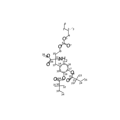 CC[C@H](C)COC(=O)OCCC(N)(Cc1ccc(OC(=O)C(C)(C)CC)c(OC(=O)C(C)(C)CC)c1)C(=O)OC